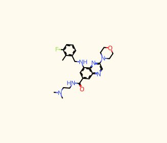 Cc1c(F)cccc1CNc1cc(C(=O)NCCN(C)C)cc2ncc(N3CCOCC3)nc12